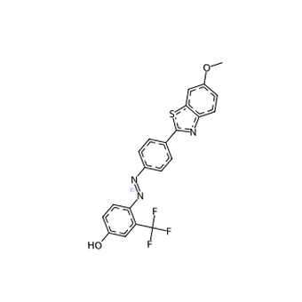 COc1ccc2nc(-c3ccc(/N=N/c4ccc(O)cc4C(F)(F)F)cc3)sc2c1